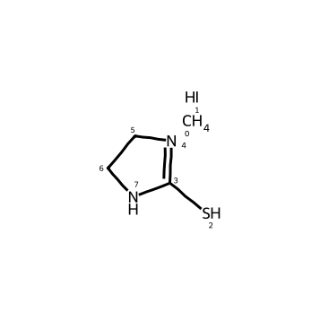 C.I.SC1=NCCN1